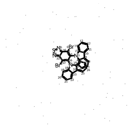 Brc1c(-n2c3ccccc3c3ccccc32)c(-n2c3ccccc3c3ccccc32)c(Br)c2nsnc12